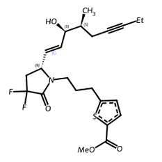 CCC#CC[C@H](C)[C@H](O)/C=C/[C@H]1CC(F)(F)C(=O)N1CCCc1ccc(C(=O)OC)s1